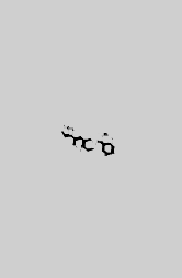 Cn1nccc1-c1cnc2c(c1)CN(c1ncnc3cc(F)c(F)cc13)CC2